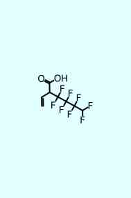 C=CC(C(=O)O)C(F)(F)C(F)(F)C(F)(F)C(F)F